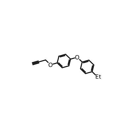 C#CCOc1ccc(Oc2ccc(CC)cc2)cc1